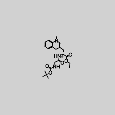 CCOC(=O)[C@H](CC1=CN(C)c2ccccc2C1)NC(=O)CNC(=O)OC(C)(C)C